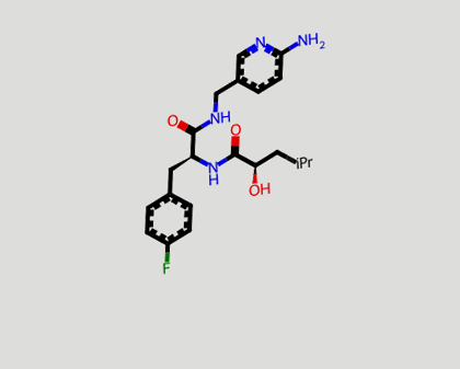 CC(C)C[C@@H](O)C(=O)N[C@@H](Cc1ccc(F)cc1)C(=O)NCc1ccc(N)nc1